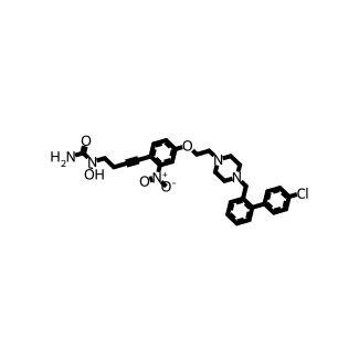 NC(=O)N(O)CCC#Cc1ccc(OCCN2CCN(Cc3ccccc3-c3ccc(Cl)cc3)CC2)cc1[N+](=O)[O-]